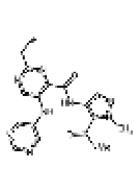 CNC(=O)c1c(NC(=O)c2nc(CC(C)C)ncc2Nc2cncnc2)cnn1C